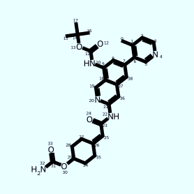 Cc1ccncc1-c1cc(NC(=O)OC(C)(C)C)c2cnc(NC(=O)C=C3CCC(OC(N)=O)CC3)cc2c1